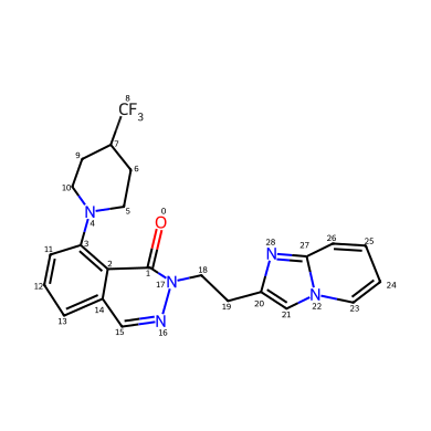 O=c1c2c(N3CCC(C(F)(F)F)CC3)cccc2cnn1CCc1cn2ccccc2n1